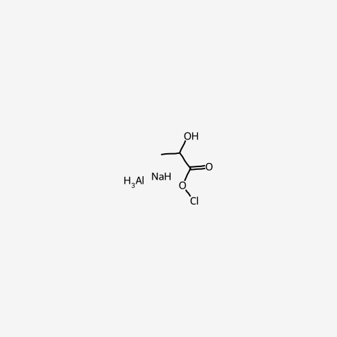 CC(O)C(=O)OCl.[AlH3].[NaH]